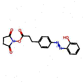 O=C(CCc1ccc(/N=N/c2ccccc2O)cc1)ON1C(=O)CCC1=O